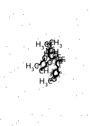 CCCCO[C@@H]1[C@H]2N=C(N(C)C)S[C@H]2O[C@H](C(CCc2ccc(OC)cc2)C(F)(F)F)[C@H]1OCCCC